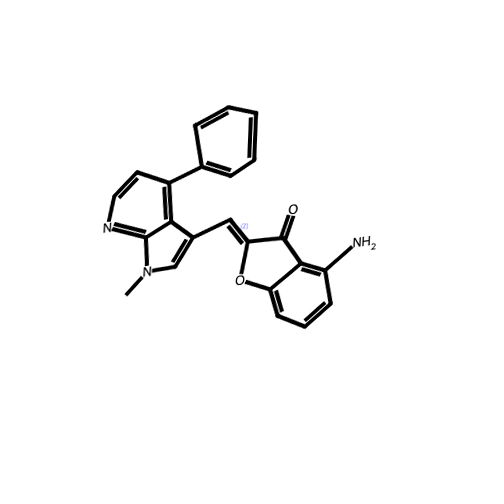 Cn1cc(/C=C2\Oc3cccc(N)c3C2=O)c2c(-c3ccccc3)ccnc21